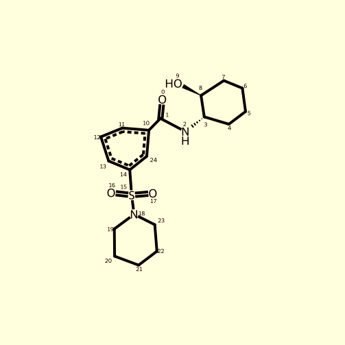 O=C(N[C@H]1CCCC[C@@H]1O)c1cccc(S(=O)(=O)N2CCCCC2)c1